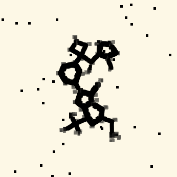 Cn1cnnc1[C@H](F)C1(c2cccc(-n3cc4c(C(F)(F)F)cc(CN)cn4c3=O)c2)COC1